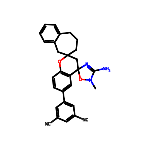 [C-]#[N+]c1cc(C#N)cc(-c2ccc3c(c2)C2(CC4(CCCc5ccccc5C4)O3)N=C(N)N(C)O2)c1